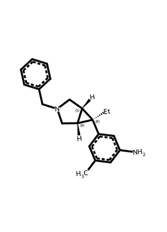 CC[C@]1(c2cc(C)cc(N)c2)[C@@H]2CN(Cc3ccccc3)C[C@@H]21